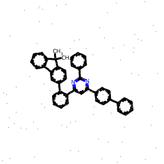 CC1(C)c2ccccc2-c2cc(-c3ccccc3-c3cc(-c4ccc(-c5ccccc5)cc4)nc(-c4ccccc4)n3)ccc21